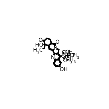 CC[C@@]1(O)C(=O)CCc2c1cc1n(c2=O)Cc2c-1nc1ccc(O)cc1c2[Si](C)(C)C(C)(C)C